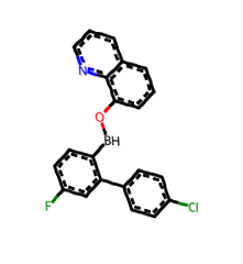 Fc1ccc(BOc2cccc3cccnc23)c(-c2ccc(Cl)cc2)c1